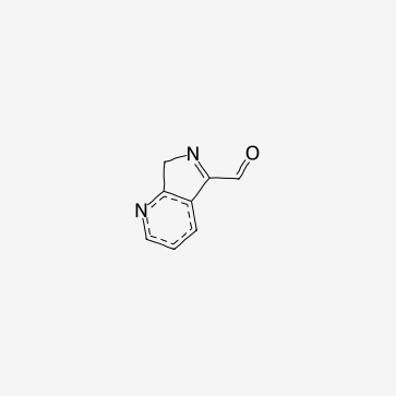 O=CC1=NCc2ncccc21